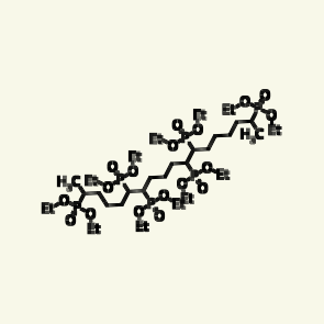 CCOP(=O)(OCC)C(C)CCCCC(C(CCCC(C(CCCC(C)P(=O)(OCC)OCC)P(=O)(OCC)OCC)P(=O)(OCC)OCC)P(=O)(OCC)OCC)P(=O)(OCC)OCC